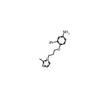 Cc1nccn1CCCOc1ccc(N)cc1C(C)C